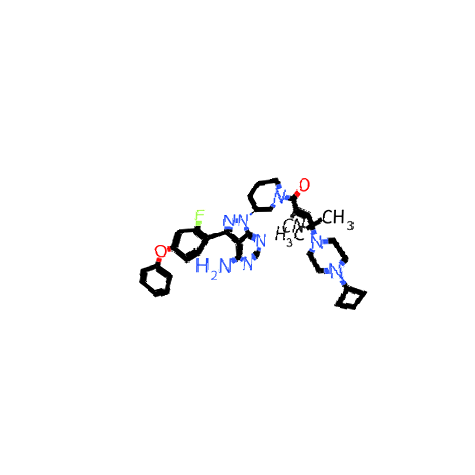 CC(C)(/C=C(\C#N)C(=O)N1CCC[C@@H](n2nc(-c3ccc(Oc4ccccc4)cc3F)c3c(N)ncnc32)C1)N1CCN(C2CCC2)CC1